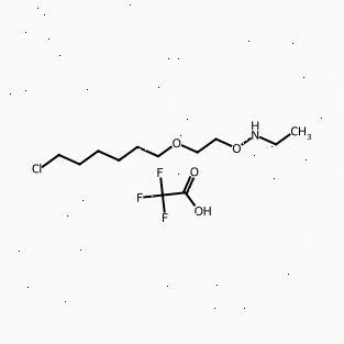 CCNOCCOCCCCCCCl.O=C(O)C(F)(F)F